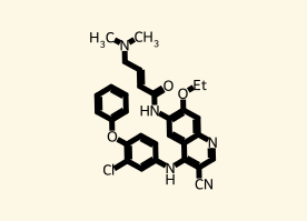 CCOc1cc2ncc(C#N)c(Nc3ccc(Oc4ccccc4)c(Cl)c3)c2cc1NC(=O)/C=C/CN(C)C